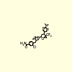 CN(C)c1ncc(C(CC(=O)NCC(Cc2ccc(C(N)=O)cc2Cl)N(C)C)C2(C(F)(F)F)CC2)cn1